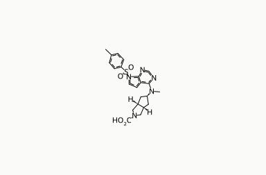 Cc1ccc(S(=O)(=O)n2ccc3c(N(C)[C@H]4C[C@@H]5CN(C(=O)O)C[C@@H]5C4)ncnc32)cc1